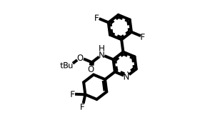 CC(C)(C)OC(=O)Nc1c(-c2cc(F)ccc2F)ccnc1C1=CCC(F)(F)CC1